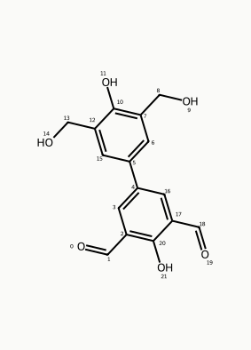 O=Cc1cc(-c2cc(CO)c(O)c(CO)c2)cc(C=O)c1O